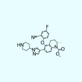 COC(=O)N1c2ccc(-c3cnn(C4CCNCC4)c3)c(Oc3ccc(F)cc3C#N)c2CC[C@@H]1C